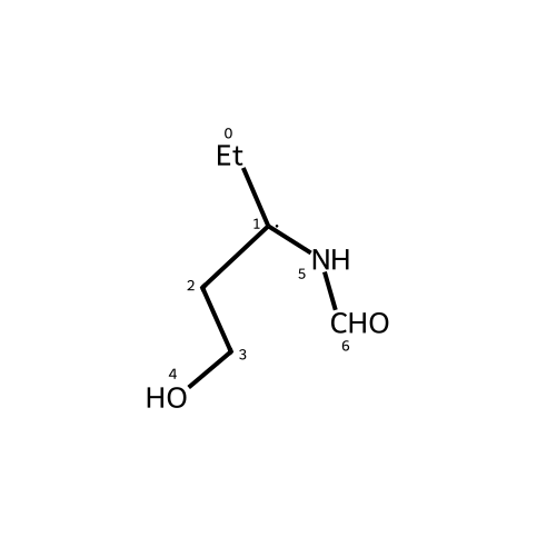 CC[C](CCO)NC=O